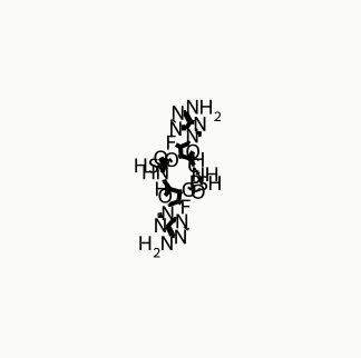 Nc1ncnc2c1ncn2[C@@H]1O[C@@H]2CNP(=O)(S)OC3C(F)[C@H](n4cnc5c(N)ncnc54)O[C@@H]3CNP(=O)(S)OC2C1F